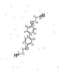 N#CCCOc1ccc(-c2ccc(OCCC#N)cc2)cc1